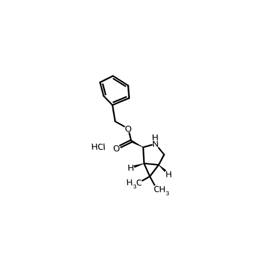 CC1(C)[C@@H]2[C@@H](C(=O)OCc3ccccc3)NC[C@@H]21.Cl